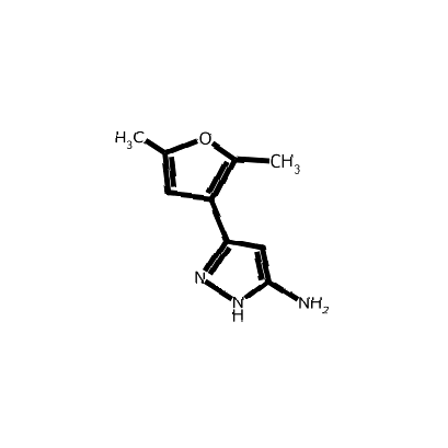 Cc1cc(-c2cc(N)[nH]n2)c(C)o1